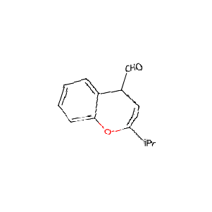 CC(C)C1=CC(C=O)c2ccccc2O1